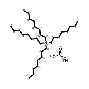 CCCCCCCC[N+](CCCCCCCC)(CCCCCCCC)CCCCCCCC.O=S([O-])[O-].[H+]